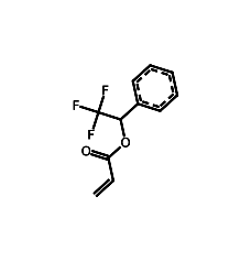 C=CC(=O)OC(c1ccccc1)C(F)(F)F